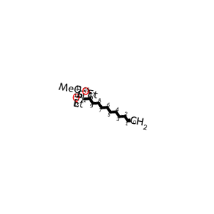 C=CCCCCCCCCCC[Si](OC)(OCC)OCC